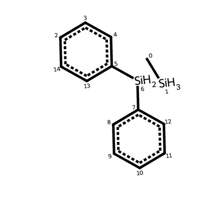 C[SiH3].c1ccc([SiH2]c2ccccc2)cc1